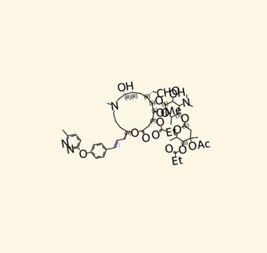 CCC(=O)O[C@@H]1CC(=O)O[C@@H](C/C=C/c2ccc(Oc3ccc(C)nn3)cc2)CCCN(C)C[C@H](O)[C@H](C)C[C@H](CC=O)[C@H](O[C@@H]2OC(C)[C@@H](O[C@H]3CC(C)(OC(C)=O)[C@@H](OC(=O)CC)C(C)O3)C(N(C)C)C2O)[C@H]1OC